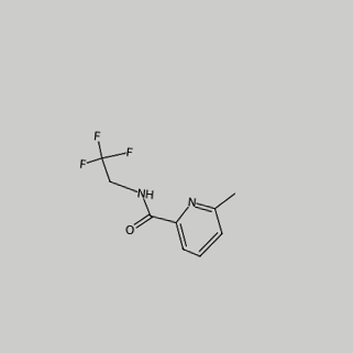 Cc1cccc(C(=O)NCC(F)(F)F)n1